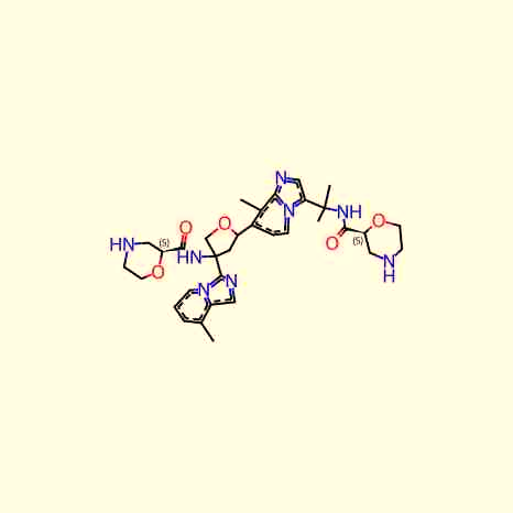 Cc1cccn2c(C3(NC(=O)[C@@H]4CNCCO4)COC(c4ccn5c(C(C)(C)NC(=O)[C@@H]6CNCCO6)cnc5c4C)C3)ncc12